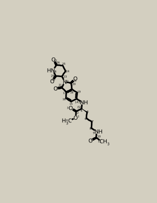 COC(=O)[C@H](CCCCNC(C)=O)Nc1ccc2c(c1)C(=O)N(C1CCC(=O)NC1=O)C2=O